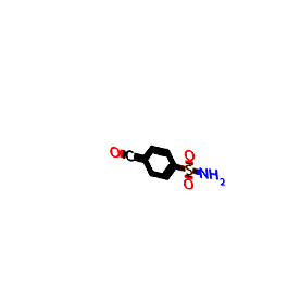 NS(=O)(=O)C1=CCC(=C=O)C=C1